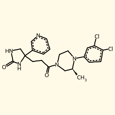 C[C@H]1CN(C(=O)CCC2(c3cccnc3)CNC(=O)N2)CCN1c1ccc(Cl)c(Cl)c1